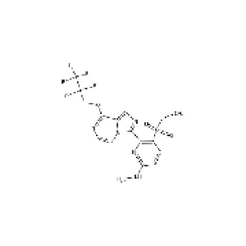 CCS(=O)(=O)c1ccc(NC)nc1-c1ncc2c(OCC(F)(F)C(F)(F)F)nccn12